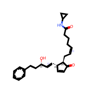 O=C(CCC/C=C\C[C@H]1C(=O)C=C[C@@H]1/C=C/[C@@H](O)CCc1ccccc1)NC1CC1